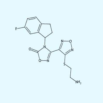 NCCSc1nonc1-c1noc(=O)n1C1CCc2ccc(F)cc21